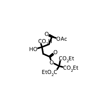 CCOC(=O)C(OC(=O)CC(O)(CC(=O)OC(C)=O)C(=O)O)(C(=O)OCC)C(=O)OCC